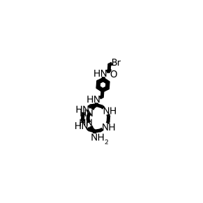 NC12CNCCNCC(NCc3ccc(NC(=O)CBr)cc3)(CNCCNC1)CNCCNC2